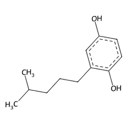 CC(C)CCCc1cc(O)ccc1O